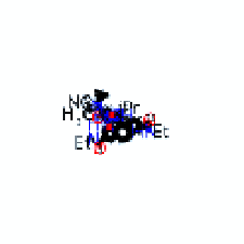 CCNC(=O)c1ccc2c(c1)CCc1cc(C(=O)NCC)ccc1C2(C[C@H](NCC(=O)N(C(C)C#N)C1CC1)C(C)C)c1nnn[nH]1